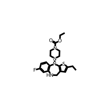 CCOC(=O)N1CCN(N2c3ccc(F)cc3NCc3cc(CC)sc32)CC1